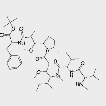 CCC(C)C(C(CC(=O)N1[C@@H](C)CC[C@H]1C(OC)C(C)C(=O)NC(Cc1ccccc1)C(=O)OC(C)(C)C)OC)N(C)C(=O)C(NC(=O)C(NC)C(C)C)C(C)C